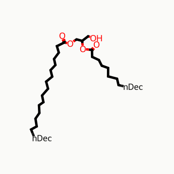 CCCCCCCCCCCCCCCCCCCCCCCCCC(=O)OCC(CO)OC(=O)CCCCCCCCCCCCCCCCC